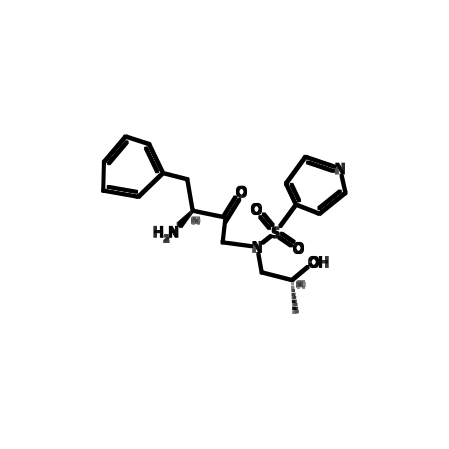 C[C@@H](O)CN(CC(=O)[C@@H](N)Cc1ccccc1)S(=O)(=O)c1ccncc1